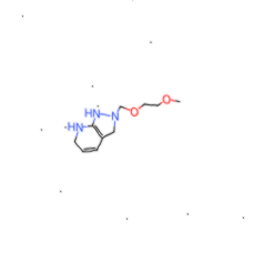 COCCOCN1CC2=C(NCC=C2)N1